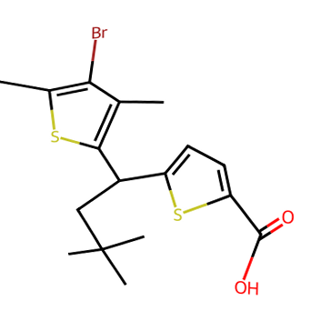 Cc1sc(C(CC(C)(C)C)c2ccc(C(=O)O)s2)c(C)c1Br